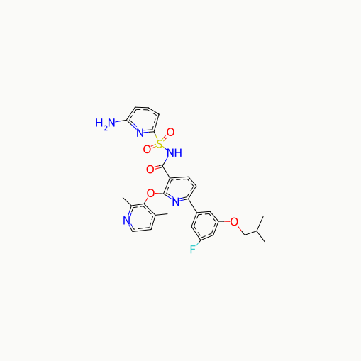 Cc1ccnc(C)c1Oc1nc(-c2cc(F)cc(OCC(C)C)c2)ccc1C(=O)NS(=O)(=O)c1cccc(N)n1